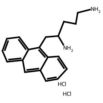 Cl.Cl.NCCCC(N)Cc1c2ccccc2cc2ccccc12